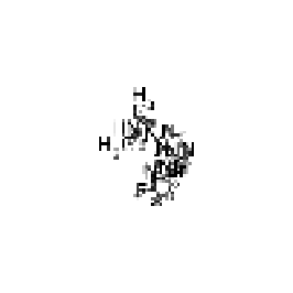 C[C@@H]1CN(C2N=Cc3ncc(Br)n3N2Cc2nc3c(F)cccc3[nH]2)C[C@H](C)N1